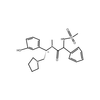 CN(C(=O)C(NS(C)(=O)=O)c1ccccc1)[C@H](CN1CCCC1)c1cccc(O)c1